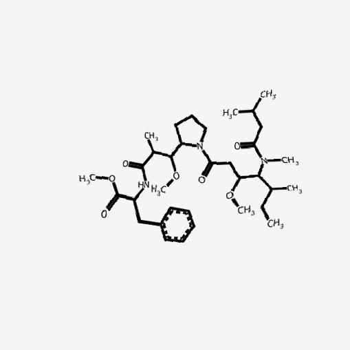 CCC(C)C(C(CC(=O)N1CCCC1C(OC)C(C)C(=O)NC(Cc1ccccc1)C(=O)OC)OC)N(C)C(=O)CC(C)C